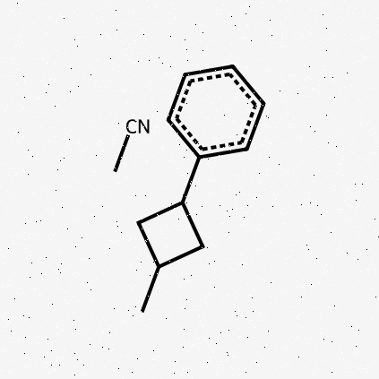 CC#N.CC1CC(c2ccccc2)C1